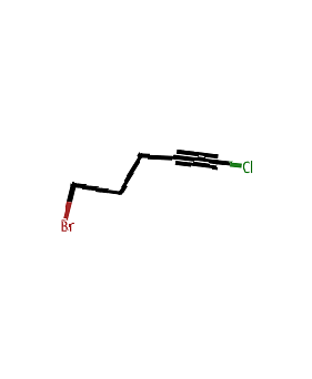 ClC#CCCCBr